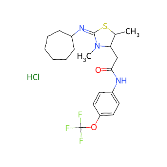 CC1SC(=NC2CCCCCC2)N(C)C1CC(=O)Nc1ccc(OC(F)(F)F)cc1.Cl